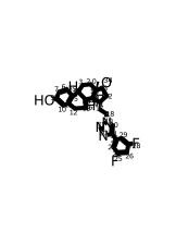 C[C@]12CC[C@@H]3c4ccc(O)cc4CC[C@H]3[C@@H]1[C@H](CCn1cc(-c3cc(F)cc(F)c3)nn1)CC2=O